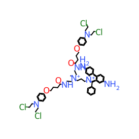 C[N+](CCC[n+]1c(-c2ccccc2)c2cc(N)ccc2c2ccc(N)cc21)(CCNC(=O)CCCOc1ccc(N(CCCl)CCCl)cc1)CCNC(=O)CCCOc1ccc(N(CCCl)CCCl)cc1